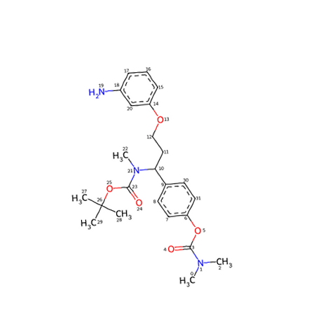 CN(C)C(=O)Oc1ccc(C(CCOc2cccc(N)c2)N(C)C(=O)OC(C)(C)C)cc1